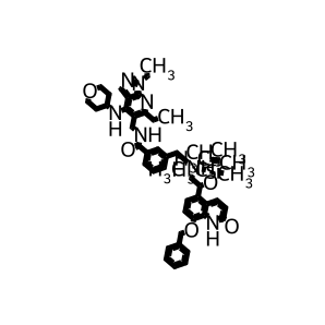 CCc1nc2c(cnn2CC)c(NC2CCOCC2)c1CNC(=O)c1cccc(CC(C)(C)NCC(O[Si](C)(C)C(C)(C)C)c2ccc(OCc3ccccc3)c3[nH]c(=O)ccc23)c1